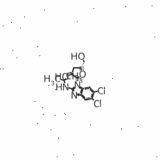 CC(C)Nc1nc2cc(Cl)c(Cl)cc2n1[C@@H]1O[C@@H](CO)C[C@@H]1O